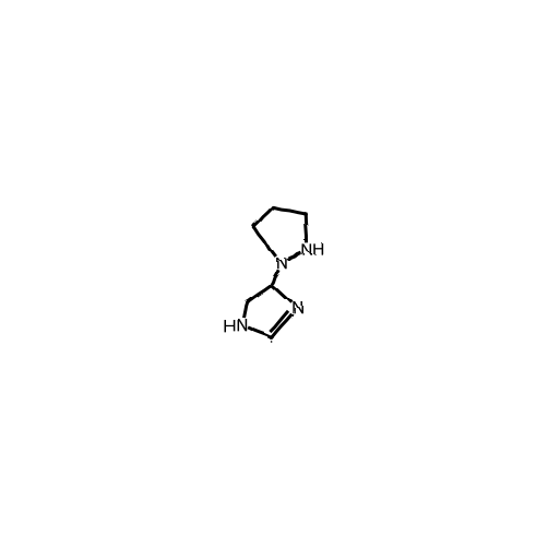 [C]1=NC(N2CCCN2)CN1